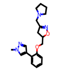 Cn1cc(-c2ccccc2OCC2CC(CN3CCCC3)=NO2)cn1